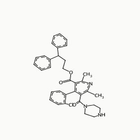 Cc1nc(C)c(C(=O)N2CCNCC2)c(-c2ccccc2Cl)c1C(=O)OCCC(c1ccccc1)c1ccccc1